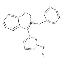 Fc1cccc(C2=[N+](Cc3ccccc3)CCc3ccccc32)c1.[I-]